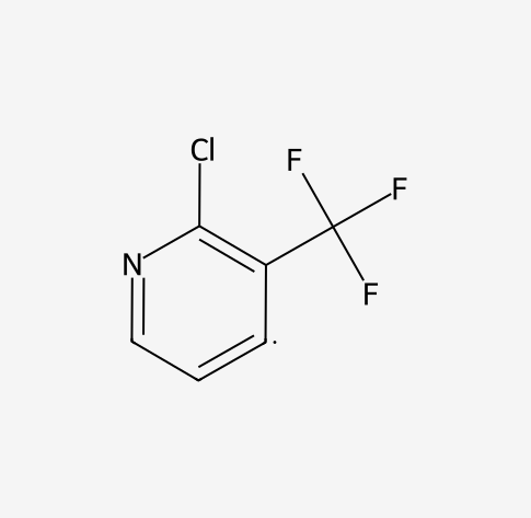 FC(F)(F)c1[c]ccnc1Cl